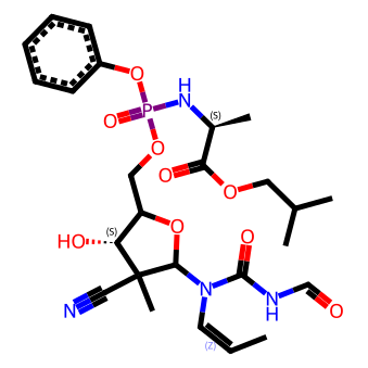 C/C=C\N(C(=O)NC=O)C1OC(COP(=O)(N[C@@H](C)C(=O)OCC(C)C)Oc2ccccc2)[C@@H](O)C1(C)C#N